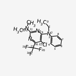 CCN(c1ccccc1)c1nc(N(C)C)nc(C(F)(F)F)c1Cl